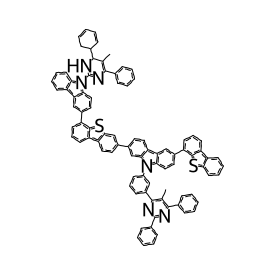 CC1=C(c2ccccc2)N=C(n2c3ccccc3c3cc(-c4cccc5c4sc4cc(-c6ccc7c8cc(-c9cccc%10c9sc9ccccc9%10)ccc8n(-c8cccc(-c9nc(-c%10ccccc%10)nc(-c%10ccccc%10)c9C)c8)c7c6)ccc45)ccc32)NC1C1C=CC=CC1